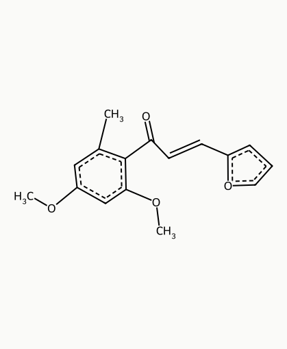 COc1cc(C)c(C(=O)/C=C/c2ccco2)c(OC)c1